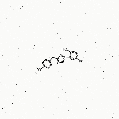 COc1ccc(Cc2nc(-c3cc(Br)ccc3O)co2)cc1